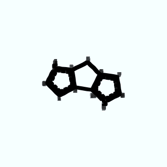 c1cc2c(s1)Cc1ccsc1-2